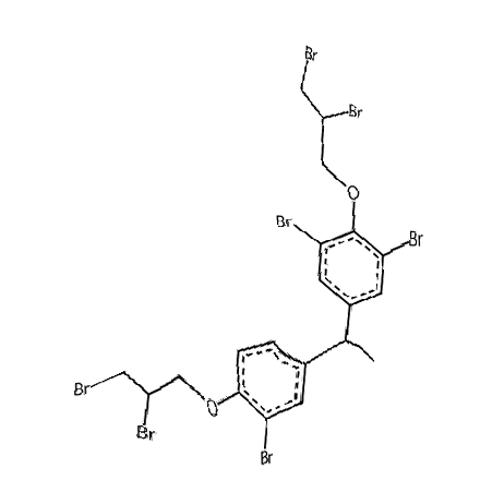 CC(c1ccc(OCC(Br)CBr)c(Br)c1)c1cc(Br)c(OCC(Br)CBr)c(Br)c1